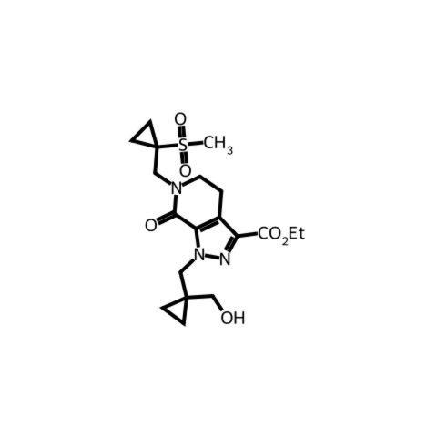 CCOC(=O)c1nn(CC2(CO)CC2)c2c1CCN(CC1(S(C)(=O)=O)CC1)C2=O